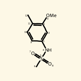 COc1cc(NS(C)(=O)=O)ccc1C